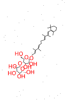 CC1=C(/C=C(C)/C(C)=C/CC/C=C(C)/C(C)=C/CO[C@H]2O[C@H](CO)[C@@H](O[C@@H]3O[C@H](CO)[C@@H](O)[C@H](O)[C@H]3O)[C@H](O)[C@H]2O)C(C)(C)CCC1